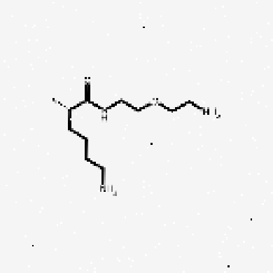 C[C@@H](CCCCN)C(=O)NCCOCCN